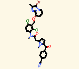 Cc1nc2c(OCc3c(Cl)ccc(N(C)C(=O)Cc4ccc(C(=O)c5ccc(C#N)cc5)n4C)c3Cl)cccn2c1Br